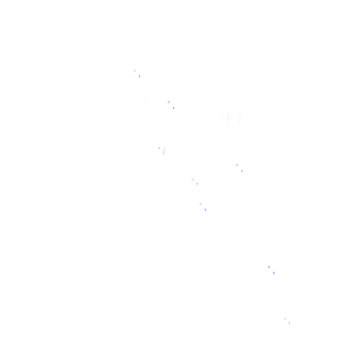 C=CC(=O)Nc1cc(N2CCN(CC)CC2)ccc1Nc1cc(N(C)C(=O)Nc2c(Cl)c(OC)cc(OC)c2Cl)ncn1.Cl